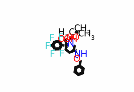 CC(C)(C)OC(=O)N1C[C@H](NOCc2ccccc2)CC[C@@]1(C(=O)O)c1c(F)c(F)c(F)c(F)c1F